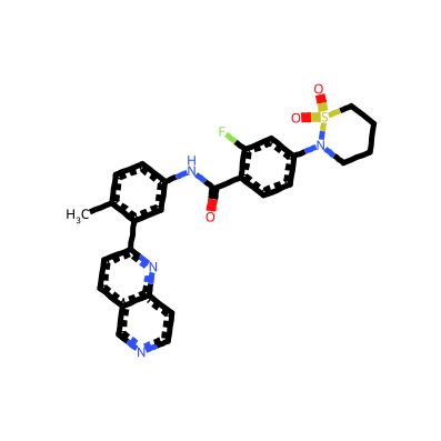 Cc1ccc(NC(=O)c2ccc(N3CCCCS3(=O)=O)cc2F)cc1-c1ccc2cnccc2n1